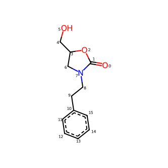 O=C1OC(CO)CN1CCc1ccccc1